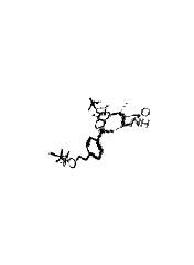 C[C@@H](O[Si](C)(C)C(C)(C)C)[C@H]1C(=O)N[C@@H]1CC(=O)c1ccc(CCO[Si](C)(C)C(C)(C)C)cc1